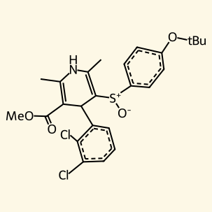 COC(=O)C1=C(C)NC(C)=C([S+]([O-])c2ccc(OC(C)(C)C)cc2)C1c1cccc(Cl)c1Cl